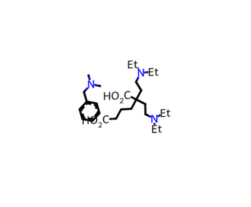 CCN(CC)CCC(CCCC(=O)O)(CCN(CC)CC)C(=O)O.CN(C)Cc1ccccc1